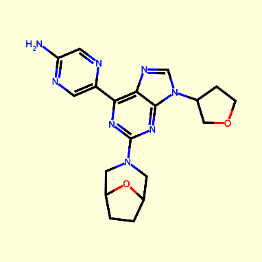 Nc1cnc(-c2nc(N3CC4CCC(C3)O4)nc3c2ncn3C2CCOC2)cn1